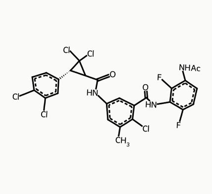 CC(=O)Nc1ccc(F)c(NC(=O)c2cc(NC(=O)C3[C@H](c4ccc(Cl)c(Cl)c4)C3(Cl)Cl)cc(C)c2Cl)c1F